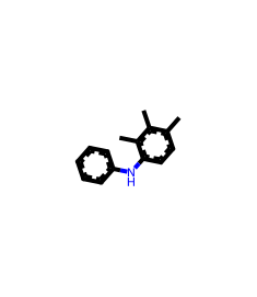 Cc1ccc(Nc2ccccc2)c(C)c1C